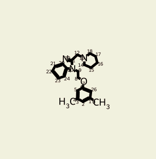 Cc1cc(C)cc(OCCn2c(CN3CCCCC3)nc3ccccc32)c1